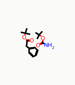 CC(C)(C)OC(=O)Cc1ccccc1.CC(C)(C)OC(N)=O